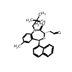 Cc1ccc2c(c1)[C@H](c1cccc3ccccc13)S[C@@H](C[C]=O)C(=O)N2CC(C)(C)C